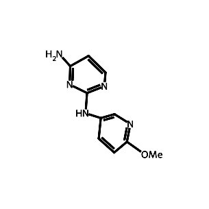 COc1ccc(Nc2nccc(N)n2)cn1